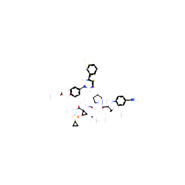 C=C[C@@H]1C[C@]1(NC(=O)[C@@H]1C[C@@H](Oc2nc(-c3ccc(OC(C)C)cc3)nc3c2sc2ccc(F)cc23)CN1C(=O)[C@@H](Nc1ccc(C#N)cc1)C(C)(C)C)C(=O)NS(=O)(=O)C1CC1